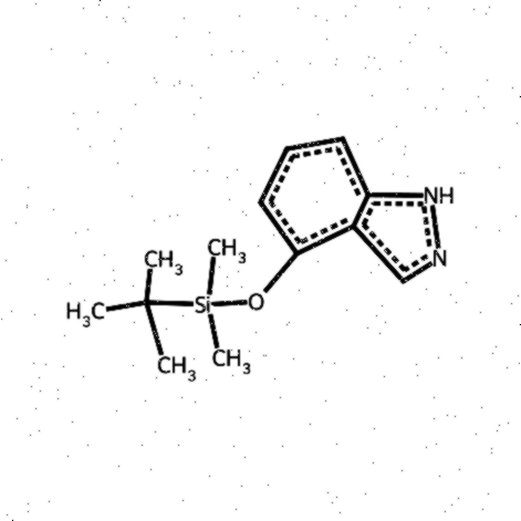 CC(C)(C)[Si](C)(C)Oc1cccc2[nH]ncc12